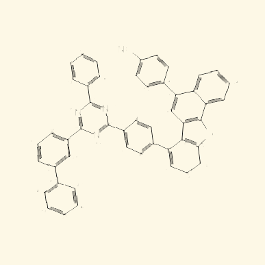 N#Cc1ccc(-c2cc3c4c(oc3c3ccccc23)CCC=C4c2ccc(-c3nc(-c4ccccc4)nc(-c4cccc(-c5ccccc5)c4)n3)cc2)cc1